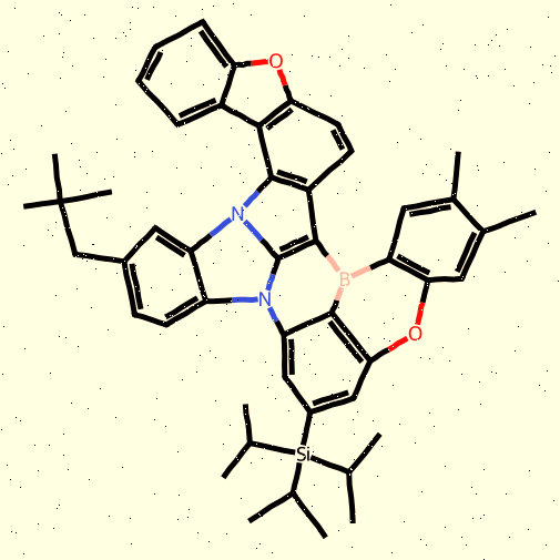 Cc1cc2c(cc1C)B1c3c(cc([Si](C(C)C)(C(C)C)C(C)C)cc3-n3c4ccc(CC(C)(C)C)cc4n4c5c(ccc6oc7ccccc7c65)c1c34)O2